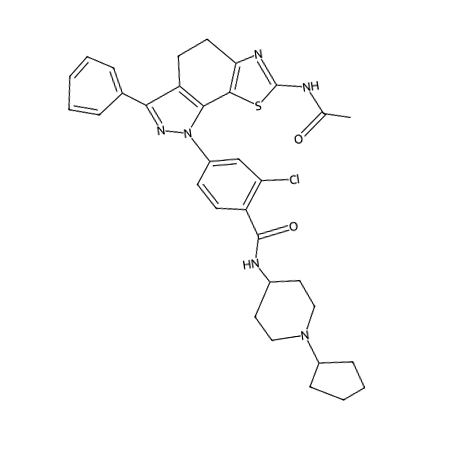 CC(=O)Nc1nc2c(s1)-c1c(c(-c3ccccc3)nn1-c1ccc(C(=O)NC3CCN(C4CCCC4)CC3)c(Cl)c1)CC2